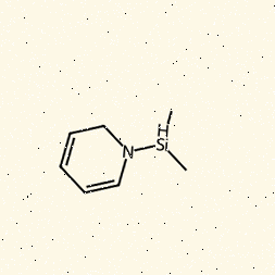 C[SiH](C)N1C=CC=CC1